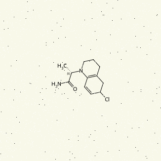 C[C@@H](C(N)=O)N1CCCC2=C1C=CC(Cl)C2